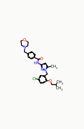 Cc1cc(NC(=O)c2ccc(CN3CCOCC3)cc2)nn1Cc1cc(Cl)ccc1OCC(C)C